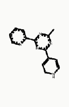 Cc1nc(C2=CCNC=C2)nc(-c2ccccn2)n1